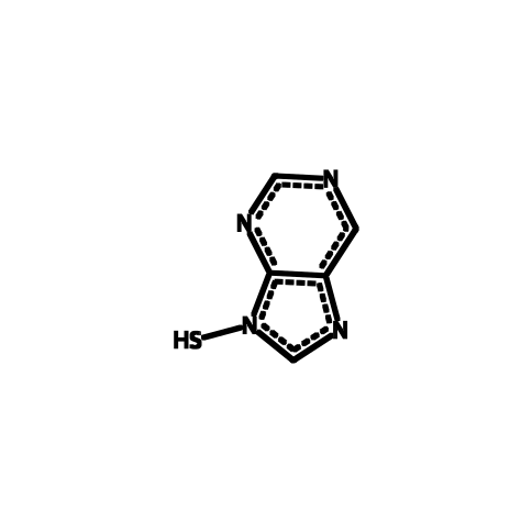 Sn1cnc2cncnc21